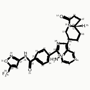 N[N+]12C=CN=CC1=C([C@@H]1CC[C@H]3CCC(=O)N3C1)N=C2c1ccc(C(=O)Nc2cc(C(F)(F)F)on2)cc1